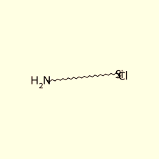 C[Si](C)(Cl)CCCCCCCCCCCCCCCCCCCCCCCCCCN